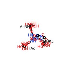 CC(=O)NC1C(OCCOCCNC(=O)CN(CC(=O)NCCOCCOC2OC(CO)C(O)C(O)C2NC(C)=O)C(Cc2ccc(CNC(=O)[C@H]3CC[C@H](OC(C)(C)C)CC3)cc2)C(=O)NCCOCCOC2OC(CO)C(O)C(O)C2NC(C)=O)OC(CO)C(O)C1O